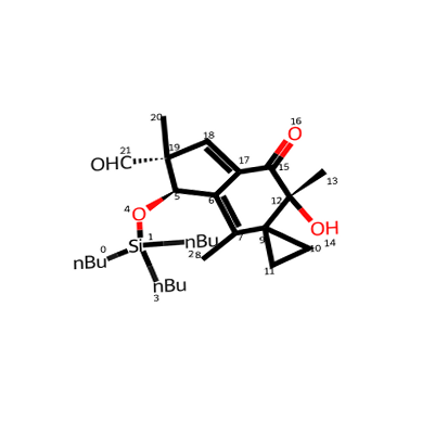 CCCC[Si](CCCC)(CCCC)O[C@@H]1C2=C(C)C3(CC3)[C@@](C)(O)C(=O)C2=C[C@@]1(C)C=O